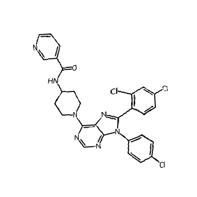 O=C(NC1CCN(c2ncnc3c2nc(-c2ccc(Cl)cc2Cl)n3-c2ccc(Cl)cc2)CC1)c1cccnc1